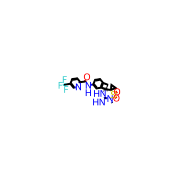 CN1C(=N)N[C@@]2(Cc3ccc(NC(=O)c4ccc(C(F)(F)F)cn4)cc32)C2(CC2)S1(=O)=O